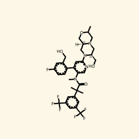 CC1CN2C[C@@H](CO)N(c3cc(-c4ccc(F)cc4CO)c(N(C)C(=O)C(C)(C)c4cc(C(F)(F)F)cc(C(F)(F)F)c4)cn3)C[C@H]2CO1